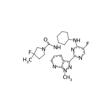 Cn1nc(-c2ncc(F)c(NC3CCC[C@@H](NC(=O)N4CCC(C)(F)C4)C3)n2)c2cccnc21